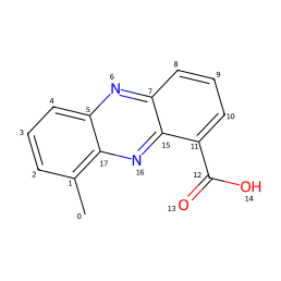 Cc1cccc2nc3cccc(C(=O)O)c3nc12